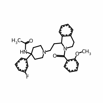 COc1ccccc1C(=O)N1CCc2ccccc2C1CCN1CCC(NC(C)=O)(c2cccc(F)c2)CC1